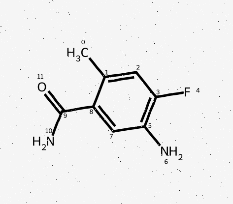 Cc1cc(F)c(N)cc1C(N)=O